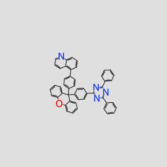 c1ccc(-c2nc(-c3ccccc3)nc(-c3ccc(C4(c5ccc(-c6cccc7ncccc67)cc5)c5ccccc5Oc5ccccc54)cc3)n2)cc1